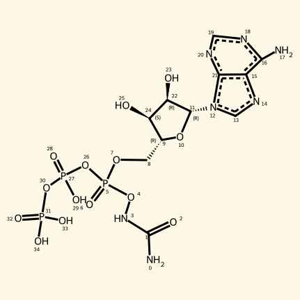 NC(=O)NOP(=O)(OC[C@H]1O[C@@H](n2cnc3c(N)ncnc32)[C@H](O)[C@@H]1O)OP(=O)(O)OP(=O)(O)O